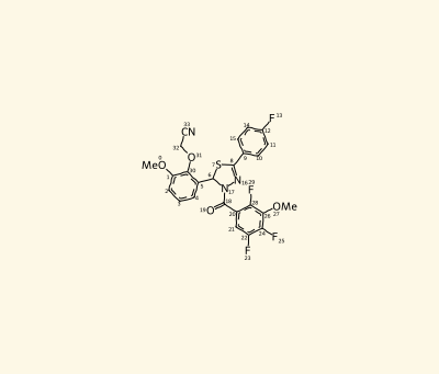 COc1cccc(C2SC(c3ccc(F)cc3)=NN2C(=O)c2cc(F)c(F)c(OC)c2F)c1OCC#N